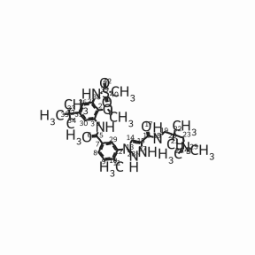 COc1c(NC(=O)c2ccc(C)c(N3C=C(C(=O)NCC(C)(C)CN(C)C)NN3)c2)cc(C(C)(C)C)cc1NS(C)(=O)=O